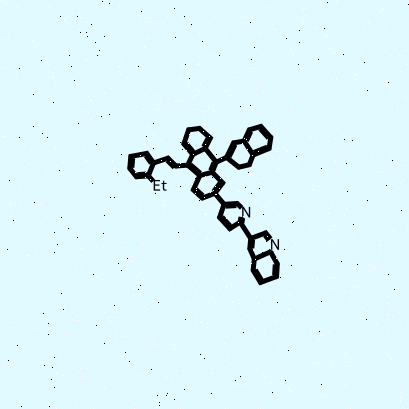 CCc1ccccc1/C=C/c1c2c(c(C3=Cc4ccccc4CC3)c3cc(-c4ccc(C5=CC6C=CC=CC6N=C5)nc4)ccc13)=CCCC=2